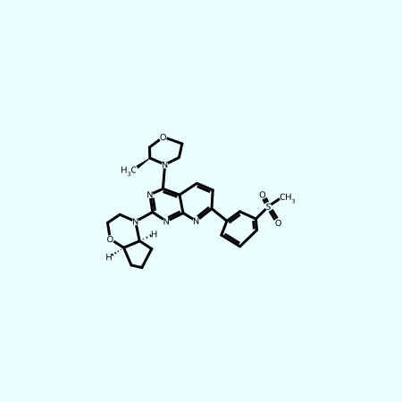 C[C@H]1COCCN1c1nc(N2CCO[C@@H]3CCC[C@@H]32)nc2nc(-c3cccc(S(C)(=O)=O)c3)ccc12